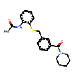 CC(C)(C)C(=O)Nc1ccccc1SCc1cccc(C(=O)N2CCCCC2)c1